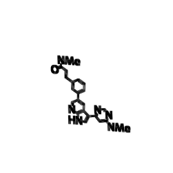 CNC(=O)C=Cc1cccc(-c2cnc3[nH]cc(-c4cc(NC)ncn4)c3c2)c1